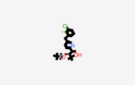 CC(C)(C)[C@@H](CO[Si](C)(C)C(C)(C)C)C(CO)c1ccc(Cc2cccc(Cl)c2F)cn1